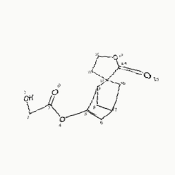 O=C(CO)OC1CC2CC1C1(CCOC1=O)C2